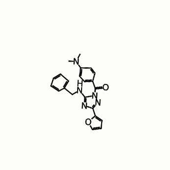 CN(C)c1ccc(C(=O)n2nc(-c3ccco3)nc2NCc2ccccc2)cc1